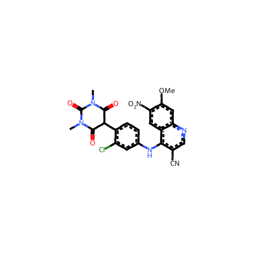 COc1cc2ncc(C#N)c(Nc3ccc(C4C(=O)N(C)C(=O)N(C)C4=O)c(Cl)c3)c2cc1[N+](=O)[O-]